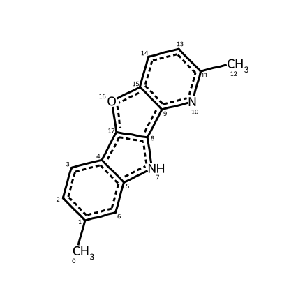 Cc1ccc2c(c1)[nH]c1c3nc(C)ccc3oc21